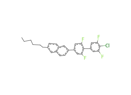 CCCCCCc1ccc2cc(-c3cc(F)c(-c4cc(F)c(Cl)c(F)c4)c(F)c3)ccc2c1